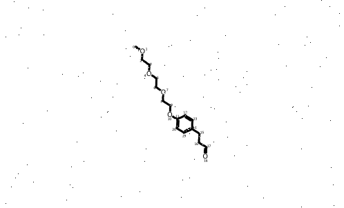 COCCOCCOCCOc1ccc(CCC=O)cc1